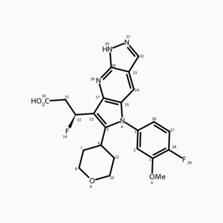 COc1cc(-n2c(C3CCOCC3)c([C@@H](F)CC(=O)O)c3nc4[nH]ncc4cc32)ccc1F